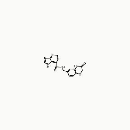 O=C1COc2ccc(CNC(=O)c3ncnc4nc[nH]c34)cc2N1